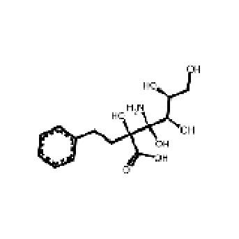 N[C@](O)([C@H](O)[C@@H](O)CO)[C@@](O)(CCc1ccccc1)C(=O)O